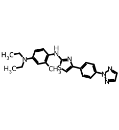 CCN(CC)c1ccc(Nc2nc(-c3ccc(-n4nccn4)cc3)cs2)c(C)c1